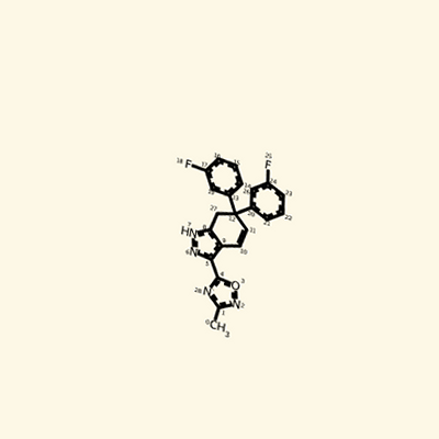 Cc1noc(-c2n[nH]c3c2C=CC(c2cccc(F)c2)(c2cccc(F)c2)C3)n1